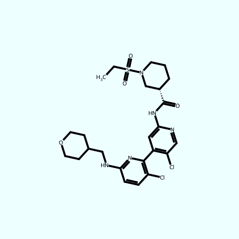 CCS(=O)(=O)N1CCC[C@H](C(=O)Nc2cc(-c3nc(NCC4CCOCC4)ccc3Cl)c(Cl)cn2)C1